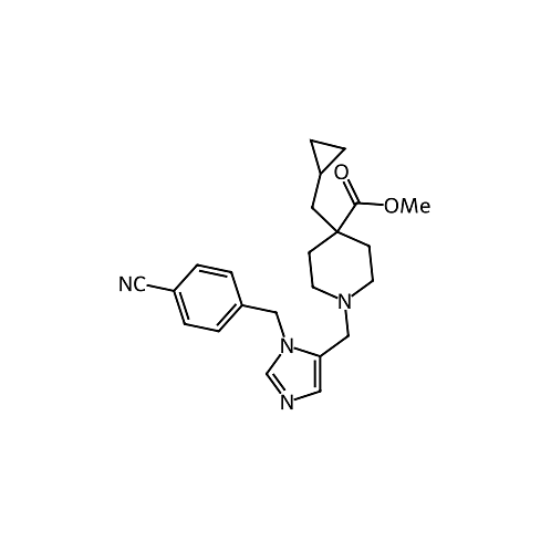 COC(=O)C1(CC2CC2)CCN(Cc2cncn2Cc2ccc(C#N)cc2)CC1